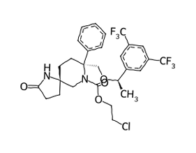 C[C@@H](OC[C@@]1(c2ccccc2)CC[C@]2(CCC(=O)N2)CN1C(=O)OCCCl)c1cc(C(F)(F)F)cc(C(F)(F)F)c1